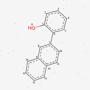 Oc1ccccc1-c1[c]c2ccccc2cc1